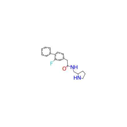 O=C(Cc1ccc(-c2ccccc2)c(F)c1)NCC1CCCN1